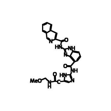 COCNC(=O)Cc1cnc(NC(=O)c2cccc3[nH]c(NC(=O)c4cc5ccccc5cn4)nc23)[nH]1